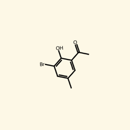 CC(=O)c1cc(C)cc(Br)c1O